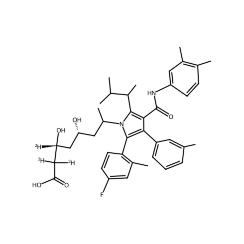 [2H]C([2H])(C(=O)O)[C@]([2H])(O)C[C@H](O)CC(C)n1c(-c2ccc(F)cc2C)c(-c2cccc(C)c2)c(C(=O)Nc2ccc(C)c(C)c2)c1C(C)C(C)C